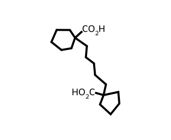 O=C(O)C1(CCCCCC2(C(=O)O)CCCC2)CCCCC1